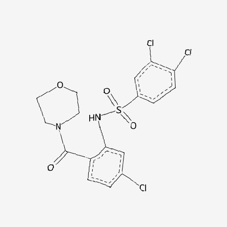 O=C(c1ccc(Cl)cc1NS(=O)(=O)c1ccc(Cl)c(Cl)c1)N1CCOCC1